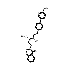 COc1ccc(-c2ccc(CC[C@H](O)[C@H](CCn3nnc4ccccc4c3=O)C(=O)O)cc2)cn1